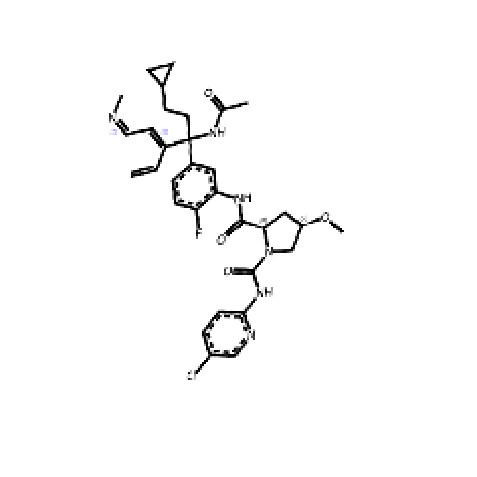 C=C/C(=C\C=N/C)C(CCC1CC1)(NC(C)=O)c1ccc(F)c(NC(=O)[C@H]2C[C@@H](OC)CN2C(=O)Nc2ccc(Cl)cn2)c1